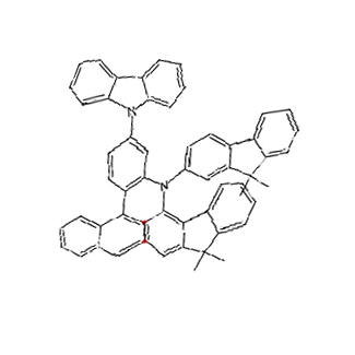 CC1(C)c2ccccc2-c2ccc(N(c3cc(-n4c5ccccc5c5ccccc54)ccc3-c3cccc4ccccc34)c3cccc4c3-c3ccccc3C4(C)C)cc21